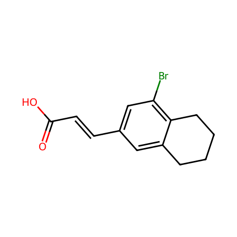 O=C(O)C=Cc1cc(Br)c2c(c1)CCCC2